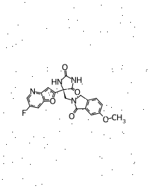 COc1ccc2c(c1)C(=O)N(C[C@@]1(c3cc4ncc(F)cc4o3)NC(=O)NC1=O)C2